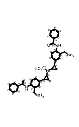 NCc1cc(C2CC2N(C(=O)O)C2CC2c2ccc(NC(=O)c3ccccc3)c(CN)c2)ccc1NC(=O)c1ccccc1